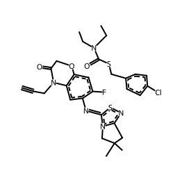 C#CCN1C(=O)COc2cc(F)c(/N=c3\snc4n3CC(C)(C)C4)cc21.CCN(CC)C(=O)SCc1ccc(Cl)cc1